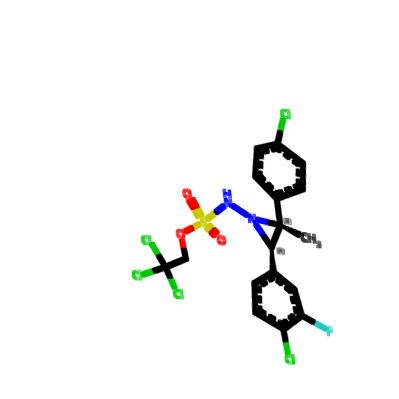 C[C@@]1(c2ccc(Cl)cc2)[C@@H](c2ccc(Cl)c(F)c2)N1NS(=O)(=O)OCC(Cl)(Cl)Cl